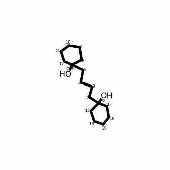 OC1(CCCCC2(O)CCCCC2)CCCCC1